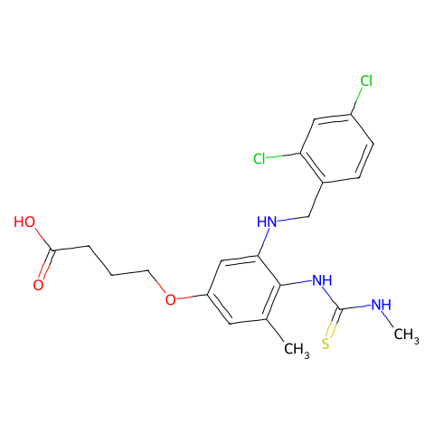 CNC(=S)Nc1c(C)cc(OCCCC(=O)O)cc1NCc1ccc(Cl)cc1Cl